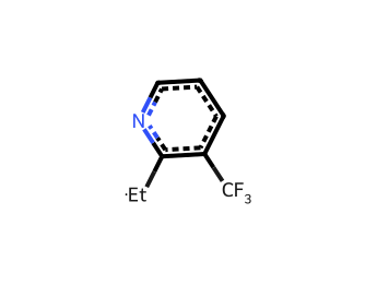 C[CH]c1ncccc1C(F)(F)F